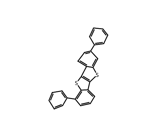 c1ccc(-c2ccc3c(c2)sc2c4cccc(-c5ccccc5)c4sc32)cc1